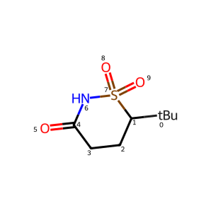 CC(C)(C)C1CCC(=O)NS1(=O)=O